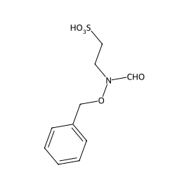 O=CN(CCS(=O)(=O)O)OCc1ccccc1